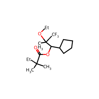 CCOC(C)(C(OC(=O)C(C)(C)CC)C1CCCC1)C(F)(F)F